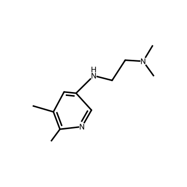 Cc1cc(NCCN(C)C)cnc1C